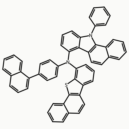 c1ccc(-n2c3cccc(N(c4ccc(-c5cccc6ccccc56)cc4)c4cccc5c4sc4c6ccccc6ccc54)c3c3ccc4ccccc4c32)cc1